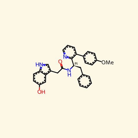 COc1ccc(-c2cccnc2[C@@H](Cc2ccccc2)NC(=O)Cc2c[nH]c3ccc(O)cc23)cc1